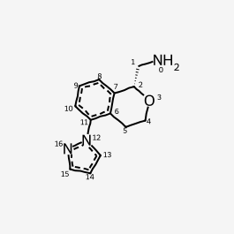 NC[C@@H]1OCCc2c1cccc2-n1cccn1